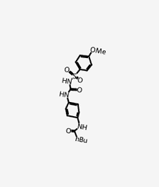 CCCCC(=O)Nc1ccc(NC(=O)NS(=O)(=O)c2ccc(OC)cc2)cc1